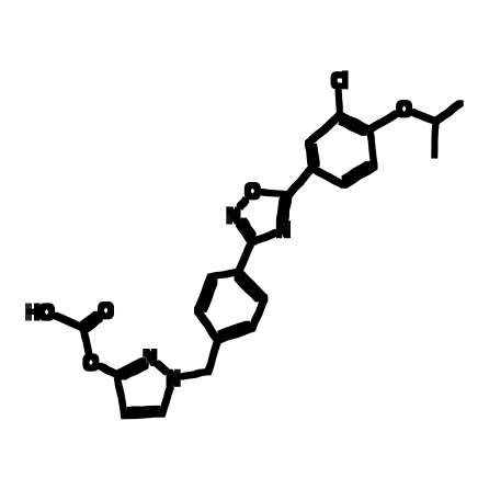 CC(C)Oc1ccc(-c2nc(-c3ccc(Cn4ccc(OC(=O)O)n4)cc3)no2)cc1Cl